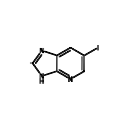 Ic1cnc2[nH][c]nc2c1